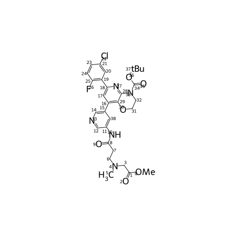 COC(=O)CN(C)CCC(=O)Nc1cncc(-c2cc(-c3cc(Cl)ccc3F)nc3c2OCCN3C(=O)OC(C)(C)C)c1